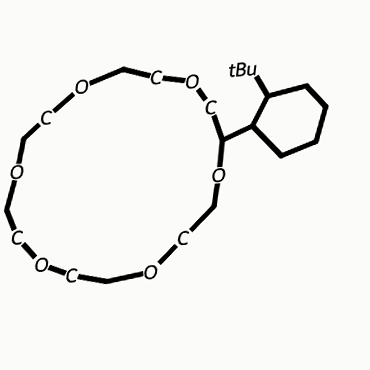 CC(C)(C)C1CCCCC1C1COCCOCCOCCOCCOCCO1